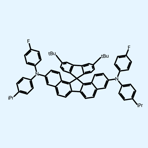 CC(C)c1ccc(N(c2ccc(F)cc2)c2ccc3c4c(ccc3c2)-c2ccc3cc(N(c5ccc(F)cc5)c5ccc(C(C)C)cc5)ccc3c2C42c3ccc(C(C)(C)C)cc3-c3cc(C(C)(C)C)ccc32)cc1